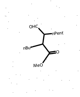 CCCCCC(C=O)C(CCCC)C(=O)OC